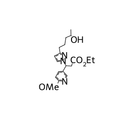 CCOC(=O)CC(c1ccc(OC)nc1)n1ccc(CCCC(C)O)n1